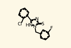 Fc1cccc(Cn2[nH]c(-c3ccccc3Cl)nc2=S)c1